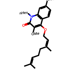 CCCCCCn1c(=O)c(OC)c(OCC=C(C)CCC=C(C)C)c2ccc(NC(C)=O)cc21